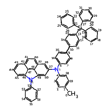 Cc1ccc(N(c2ccc(-c3ccc([Si](c4ccccc4)(c4ccccc4)c4ccccc4)cc3)cc2)c2cc3ccc4cccc5c4c3c(c2)n5-c2ccccc2)cc1